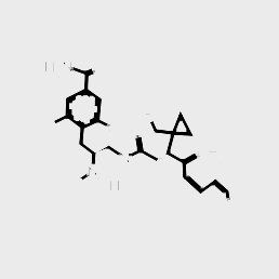 C=C(/C=C\C=C/C)[C@H](CC(=O)NC[C@H](Cc1c(C)cc(C(N)=O)cc1C)N(C)C)C1(CF)CC1